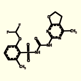 Cc1cccc(OC(F)F)c1S(=O)(=O)NC(=O)Nc1nc(C)c2c(n1)OCC2